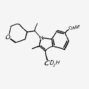 COc1ccc2c(C(=O)O)c(C)n(C(C)C3CCOCC3)c2c1